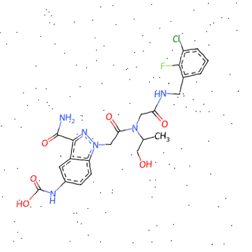 CC(CO)N(CC(=O)NCc1cccc(Cl)c1F)C(=O)Cn1nc(C(N)=O)c2cc(NC(=O)O)ccc21